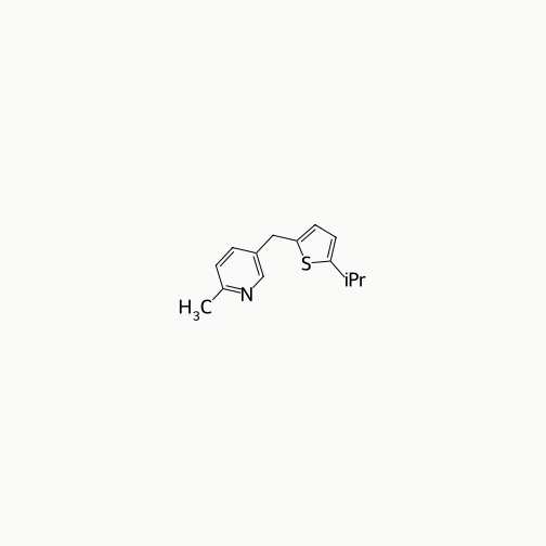 Cc1ccc(Cc2ccc(C(C)C)s2)cn1